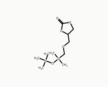 C[Si](C)(C)O[Si](C)(C)COCC1COC(=O)O1